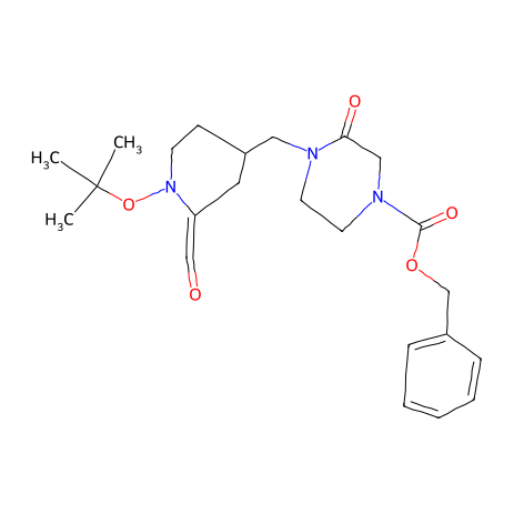 CC(C)(C)ON1CCC(CN2CCN(C(=O)OCc3ccccc3)CC2=O)CC1=C=O